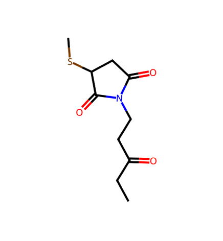 CCC(=O)CCN1C(=O)CC(SC)C1=O